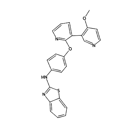 COc1ccncc1-c1cccnc1Oc1ccc(Nc2nc3ccccc3s2)cc1